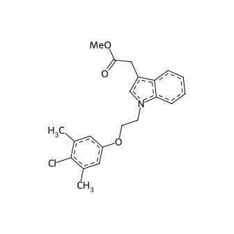 COC(=O)Cc1cn(CCOc2cc(C)c(Cl)c(C)c2)c2ccccc12